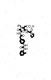 Cc1ccccc1NC(=O)Nc1ccc(CC(=O)NCC(=O)N(C(C)C)C(CC(=O)O)C(=O)NCC(=O)N2CCCC2)cc1